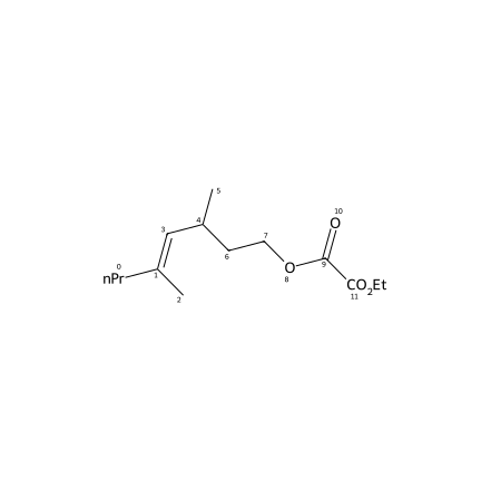 CCCC(C)=CC(C)CCOC(=O)C(=O)OCC